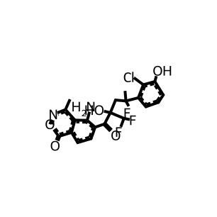 Cc1noc(=O)c2ccc(C(=O)C(O)(CC(C)(C)c3cccc(O)c3Cl)C(F)(F)F)c(N)c12